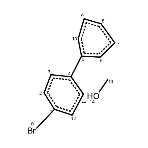 Brc1ccc(-c2ccccc2)cc1.CO